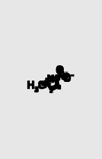 CN1CCC([N+](=O)[O-])[N]1